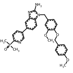 COc1ccc(COc2ccc(Cn3c(N)nc4cc(-c5ccc(P(C)(C)=O)nc5)ccc43)cc2OC)cc1